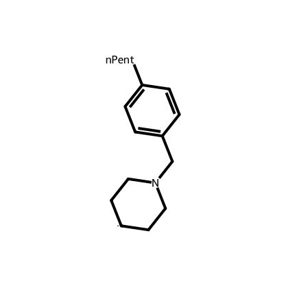 CCCCCc1ccc(CN2CC[CH]CC2)cc1